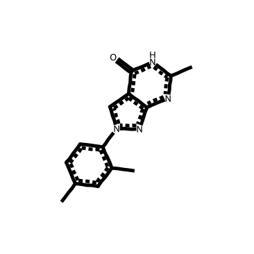 Cc1ccc(-n2cc3c(=O)[nH]c(C)nc3n2)c(C)c1